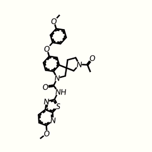 COc1cccc(Oc2ccc3c(c2)C2(CCN(C(C)=O)C2)CN3C(=O)Nc2nc3ccc(OC)nc3s2)c1